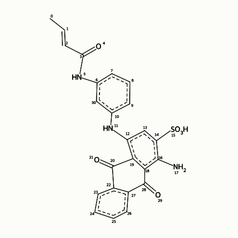 CC=CC(=O)Nc1cccc(Nc2cc(S(=O)(=O)O)c(N)c3c2C(=O)c2ccccc2C3=O)c1